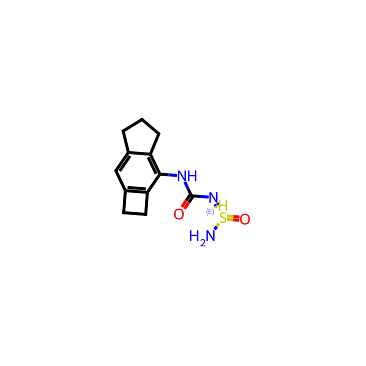 N/[SH](=O)=N\C(=O)Nc1c2c(cc3c1CC3)CCC2